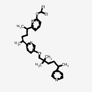 CCC(CC)Oc1cccc(C(C)CCC(C)c2ccc(OCC(C)(C)CCC(C)c3ccncc3)cn2)n1